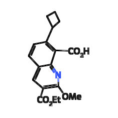 CCOC(=O)c1cc2ccc(C3CCC3)c(C(=O)O)c2nc1OC